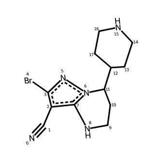 N#Cc1c(Br)nn2c1NCCC2C1CCNCC1